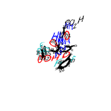 Cc1cc(OCc2c(F)cccc2F)c2nc(C)c(C(=O)NNC(=O)CNC(=O)O)n2c1.O=C(O)C(F)(F)F